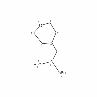 CCCCN(C)CC1CCOCC1